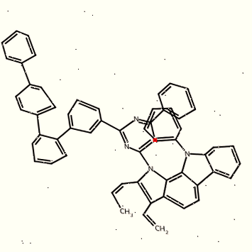 C=Cc1c(/C=C\C)n(-c2nc(-c3ccccc3)nc(-c3cccc(-c4ccccc4-c4ccc(-c5ccccc5)cc4)c3)n2)c2c1ccc1c3ccccc3n(-c3ccccc3)c12